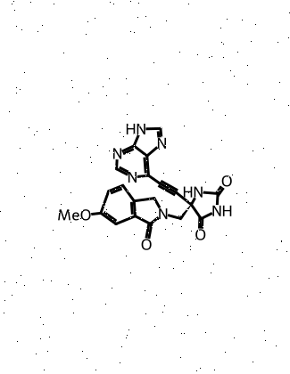 COc1ccc2c(c1)C(=O)N(C[C@@]1(C#Cc3ncnc4[nH]cnc34)NC(=O)NC1=O)C2